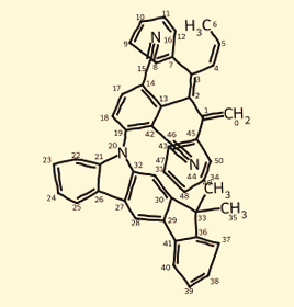 C=C(/C(=C(\C=C/C)c1ccccc1)c1c(C#N)ccc(-n2c3ccccc3c3cc4c(cc32)C(C)(C)c2ccccc2-4)c1C#N)c1ccccc1